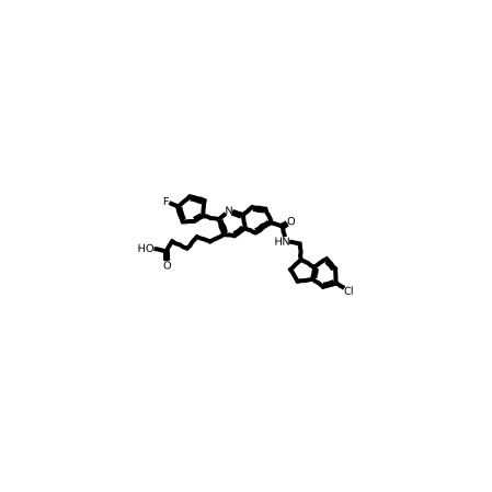 O=C(O)CCCCc1cc2cc(C(=O)NCC3CCc4cc(Cl)ccc43)ccc2nc1-c1ccc(F)cc1